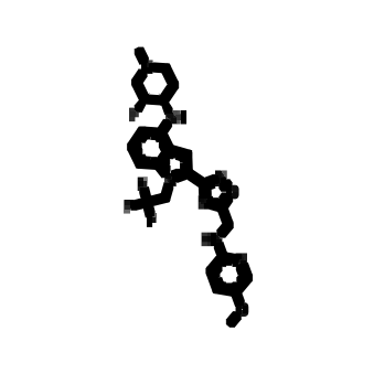 COc1ccc(NCc2nc(-c3cc4c(N[C@@H]5CCN(C)C[C@@H]5F)cccc4n3CC(F)(F)F)no2)nc1